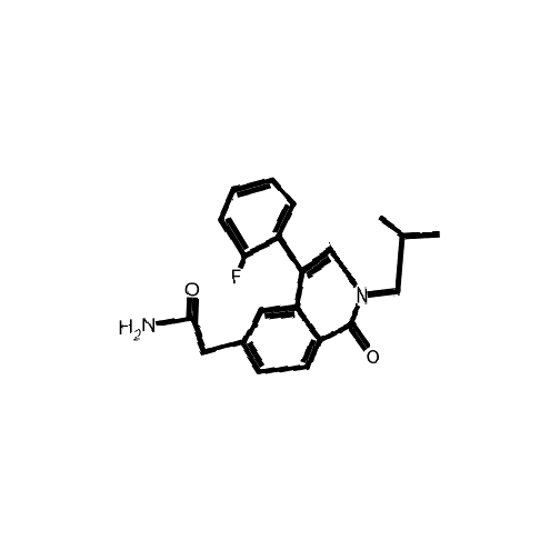 CC(C)Cn1[c]c(-c2ccccc2F)c2cc(CC(N)=O)ccc2c1=O